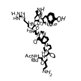 CC[C@H](C)[C@H](NC(C)=O)C(=O)N[C@@H](CCCCN)C(=O)N1CCN(c2ccc3ncn(CC(=O)N[C@@H](CCCNC(=N)N)C(=O)N[C@@H](Cc4c[nH]cn4)C(=O)NC(Cc4ccc(O)cc4)C(=O)NC)c(=O)c3c2)CC1